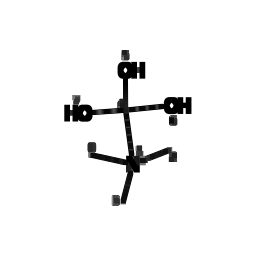 C[N+](C)(C)C(O)(O)O